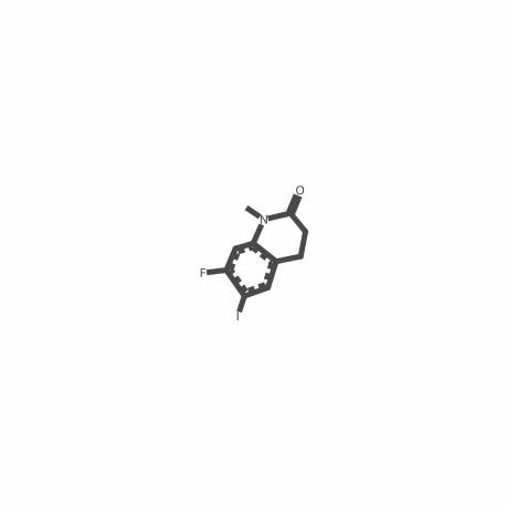 CN1C(=O)CCc2cc(I)c(F)cc21